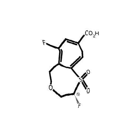 O=C(O)c1cc(F)c2c(c1)S(=O)(=O)[C@H](F)COC2